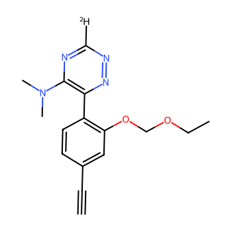 [2H]c1nnc(-c2ccc(C#C)cc2OCOCC)c(N(C)C)n1